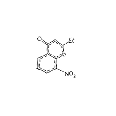 [CH2]Cc1cc(=O)c2cccc([N+](=O)[O-])c2o1